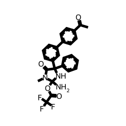 CC(=O)c1ccc(-c2cccc(C3(c4ccccc4)NC(N)(OC(=O)C(F)(F)F)N(C)C3=O)c2)cc1